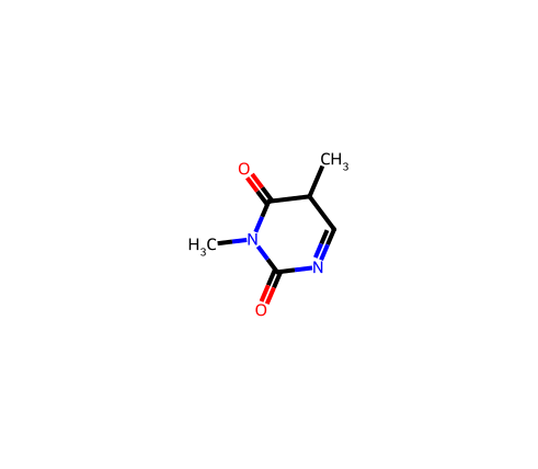 CC1C=NC(=O)N(C)C1=O